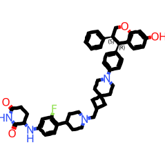 O=C1CCC(Nc2ccc(C3CCN(CC4CC5(CCN(c6ccc([C@@H]7c8ccc(O)cc8OC[C@@H]7c7ccccc7)cc6)CC5)C4)CC3)c(F)c2)C(=O)N1